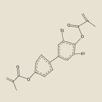 C=C(C)C(=O)Oc1ccc(-c2cc(CC)c(OC(=O)C(=C)C)c(CC)c2)cc1